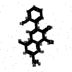 CCC1C(=O)C(c2ccccc2F)=Nc2c(C)cc(N)nc21